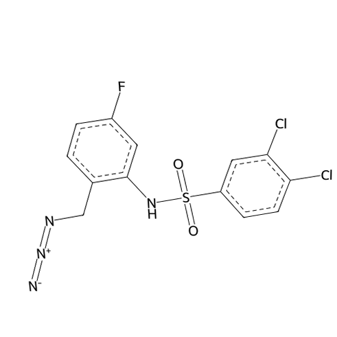 [N-]=[N+]=NCc1ccc(F)cc1NS(=O)(=O)c1ccc(Cl)c(Cl)c1